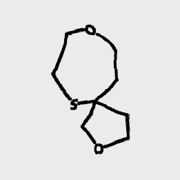 C1CSC2(CCO1)CCOC2